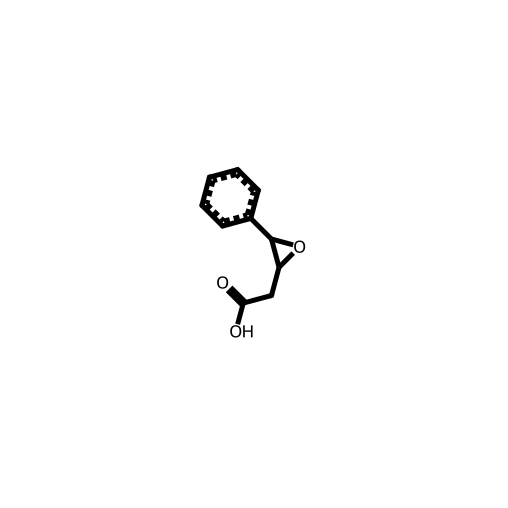 O=C(O)CC1OC1c1ccccc1